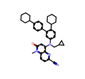 Cn1c(=O)cc(N(CC2CC2)c2ccc(C3CCCCC3)c(-c3ccc(C4CCCCC4)cc3)c2)c2nc(C#N)ccc21